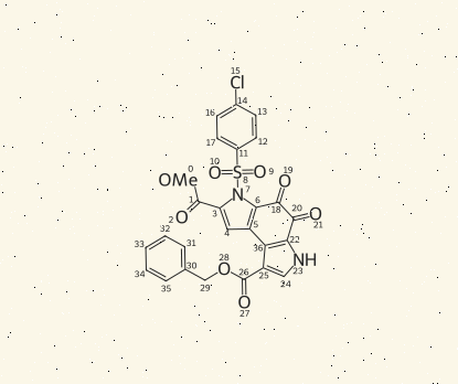 COC(=O)c1cc2c(n1S(=O)(=O)c1ccc(Cl)cc1)C(=O)C(=O)c1[nH]cc(C(=O)OCc3ccccc3)c1-2